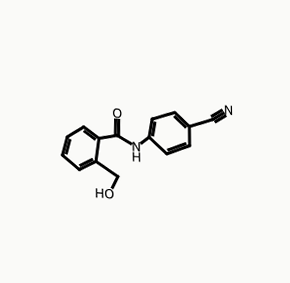 N#Cc1ccc(NC(=O)c2ccccc2CO)cc1